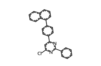 Clc1cc(-c2ccc(-c3cccc4ccccc34)cc2)nc(-c2ccccc2)n1